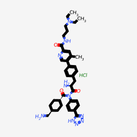 CCN(CC)CCCNC(=O)c1cc(C)c(-c2ccc(C[C@H](N)C(=O)N(c3ccc(-c4nnn[nH]4)cc3)C(=O)[C@H]3CC[C@H](CN)CC3)cc2)cn1.Cl